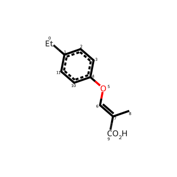 CCc1ccc(OC=C(C)C(=O)O)cc1